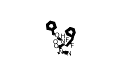 CN(C#N)C(=O)[C@H](CC(F)(F)Cc1ccccc1)NC(=O)OCc1ccccc1